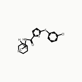 O=C(N[C@H]1CN2CCC1CC2)c1ccc(Sc2cccc(Cl)c2)s1